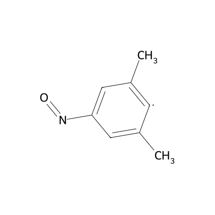 Cc1[c]c(C)cc(N=O)c1